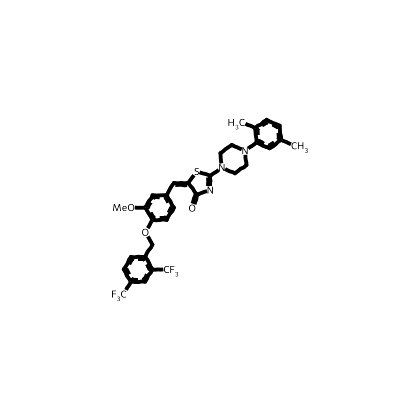 COc1cc(C=C2SC(N3CCN(c4cc(C)ccc4C)CC3)=NC2=O)ccc1OCc1ccc(C(F)(F)F)cc1C(F)(F)F